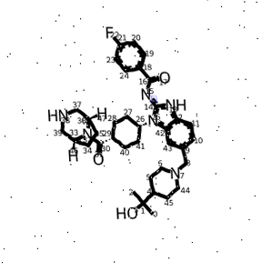 CC(C)(O)C1CCN(Cc2ccc3[nH]/c(=N\C(=O)c4ccc(F)cc4)n([C@H]4CC[C@@H](C(=O)N5[C@@H]6CC[C@H]5CNC6)CC4)c3c2)CC1